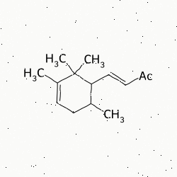 CC(=O)C=CC1C(C)CC=C(C)C1(C)C